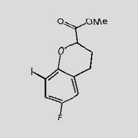 COC(=O)C1CCc2cc(F)cc(I)c2O1